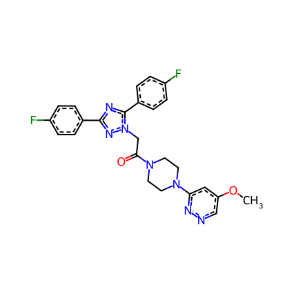 COc1cnnc(N2CCN(C(=O)Cn3nc(-c4ccc(F)cc4)nc3-c3ccc(F)cc3)CC2)c1